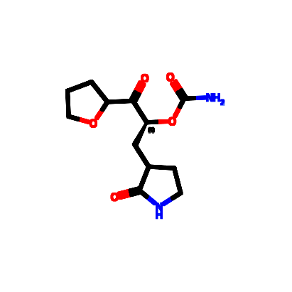 NC(=O)O[C@@H](CC1CCNC1=O)C(=O)C1CCCO1